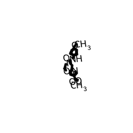 COC(=O)c1cnc2c(c1)OCCN(C(=O)Nc1ccc(OC)cc1)C2